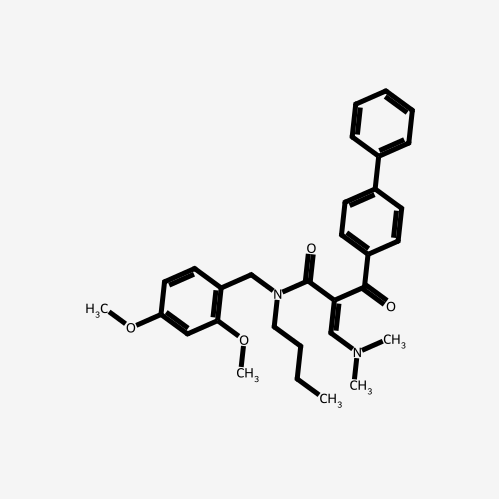 CCCCN(Cc1ccc(OC)cc1OC)C(=O)/C(=C/N(C)C)C(=O)c1ccc(-c2ccccc2)cc1